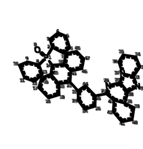 O=P(c1ccccc1)(c1ccccc1)c1c2ccccc2c(-c2cccc(-c3nc4c(nc5ccccn54)c4ccccc34)c2)c2ccccc12